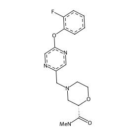 CNC(=O)[C@@H]1CN(Cc2cnc(Oc3ccccc3F)cn2)CCO1